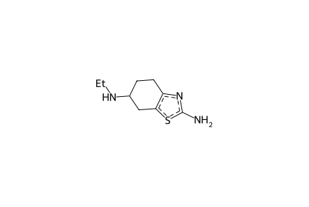 CCNC1CCc2nc(N)sc2C1